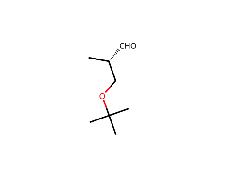 C[C@H](C=O)COC(C)(C)C